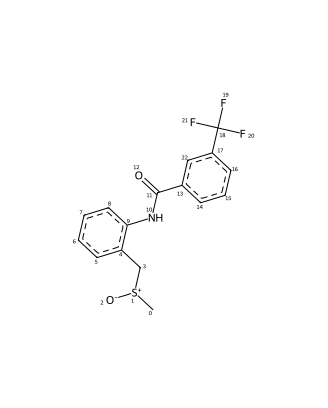 C[S+]([O-])Cc1ccccc1NC(=O)c1cccc(C(F)(F)F)c1